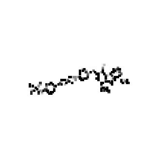 CCc1nn2c(C)ccnc2c1C(=O)NCc1ccc(N2CC3(CC(c4ccc(OC(F)(F)F)cc4)C3)C2)cc1